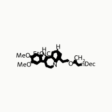 C=C(CCCCCCCCCCC)OCCC1C[C@@H]2CN3CCc4c([nH]c5cc(OC)c(OC)cc45)C(C(=O)OCC)(C2)C13